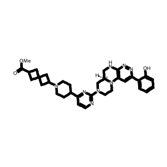 COC(=O)C1CC2(C1)CC(N1CCC(c3ccnc(N4CCN5c6cc(-c7ccccc7O)nnc6NC[C@@H]5C4)n3)CC1)C2